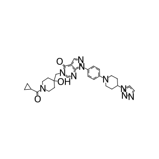 O=C(C1CC1)N1CCC(O)(Cn2cnc3c(cnn3-c3ccc(N4CCC(n5ccnn5)CC4)cc3)c2=O)CC1